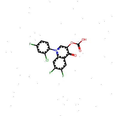 O=C(O)Oc1cn(-c2ccc(F)cc2Cl)c2cc(F)c(F)cc2c1=O